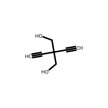 C#CC(C#C)(CO)CO